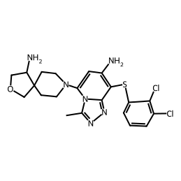 Cc1nnc2c(Sc3cccc(Cl)c3Cl)c(N)cc(N3CCC4(CC3)COCC4N)n12